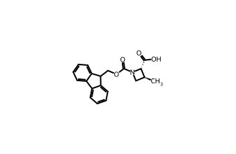 C[C@H]1CN(C(=O)OCC2c3ccccc3-c3ccccc32)[C@@H]1C(=O)O